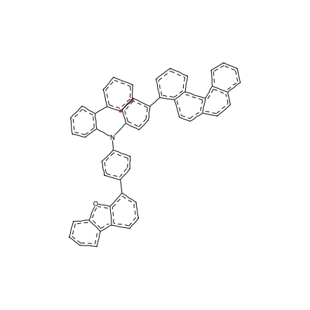 c1ccc(-c2ccccc2N(c2ccc(-c3cccc4c3ccc3ccc5ccccc5c34)cc2)c2ccc(-c3cccc4c3oc3ccccc34)cc2)cc1